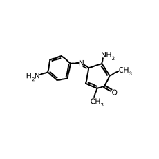 CC1=CC(=Nc2ccc(N)cc2)C(N)=C(C)C1=O